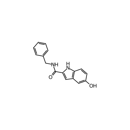 O=C(NCc1ccccc1)c1cc2cc(O)ccc2[nH]1